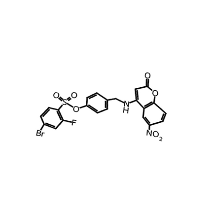 O=c1cc(NCc2ccc(OS(=O)(=O)c3ccc(Br)cc3F)cc2)c2cc([N+](=O)[O-])ccc2o1